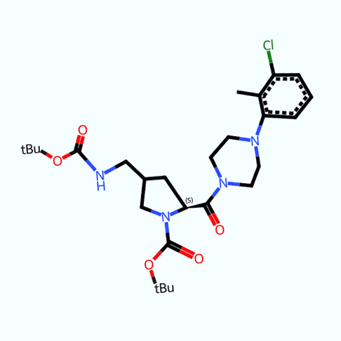 Cc1c(Cl)cccc1N1CCN(C(=O)[C@@H]2CC(CNC(=O)OC(C)(C)C)CN2C(=O)OC(C)(C)C)CC1